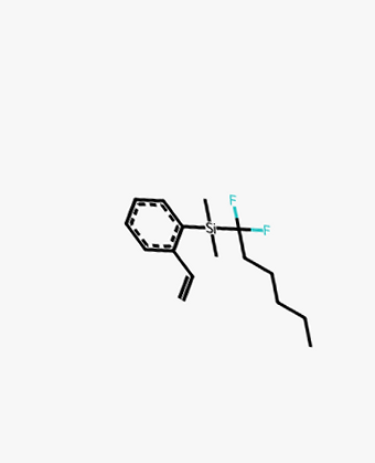 C=Cc1ccccc1[Si](C)(C)C(F)(F)CCCCC